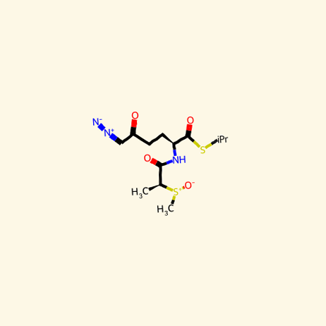 CC(C)SC(=O)[C@H](CCC(=O)C=[N+]=[N-])NC(=O)[C@H](C)[S+](C)[O-]